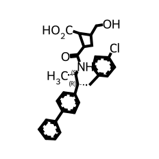 C[C@H](NC(=O)C1CC(CO)C1C(=O)O)[C@H](Cc1ccc(Cl)cc1)c1ccc(-c2ccccc2)cc1